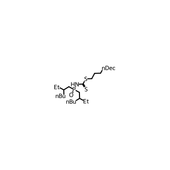 CCCCCCCCCCCCCSC(=S)NP(=O)(CC(CC)CCCC)CC(CC)CCCC